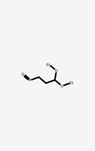 CCOC(CCP=O)OCC